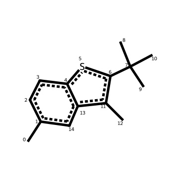 Cc1ccc2sc(C(C)(C)C)c(C)c2c1